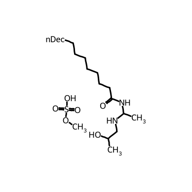 CCCCCCCCCCCCCCCCCC(=O)NC(C)NCC(C)O.COS(=O)(=O)O